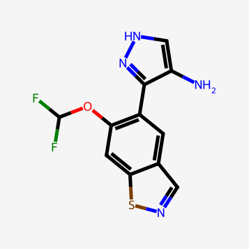 Nc1c[nH]nc1-c1cc2cnsc2cc1OC(F)F